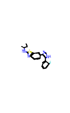 CCC(C)Nc1nc2ccc(-c3nc[nH]c3-c3ccccc3F)cc2s1